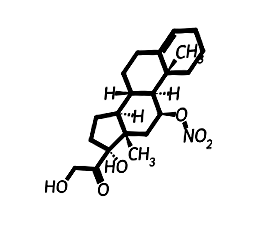 C[C@]12CCCC=C1CC[C@@H]1[C@@H]2[C@@H](O[N+](=O)[O-])C[C@@]2(C)[C@H]1CC[C@]2(O)C(=O)CO